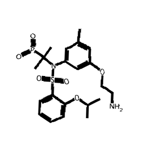 Cc1cc(OCCN)cc(N(C(C)(C)P(=O)=O)S(=O)(=O)c2ccccc2OC(C)C)c1